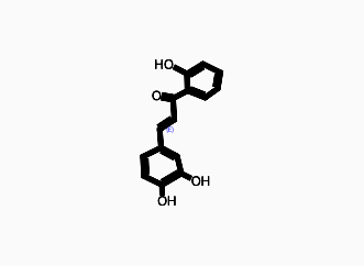 O=C(/C=C/c1ccc(O)c(O)c1)c1ccccc1O